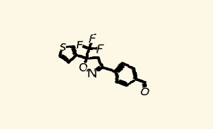 O=Cc1ccc(C2=NOC(c3ccsc3)(C(F)(F)F)C2)cc1